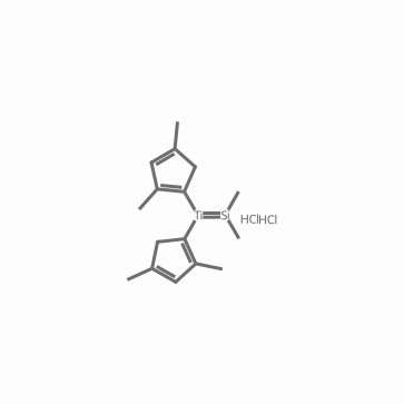 CC1=CC(C)=[C]([Ti]([C]2=C(C)C=C(C)C2)=[Si](C)C)C1.Cl.Cl